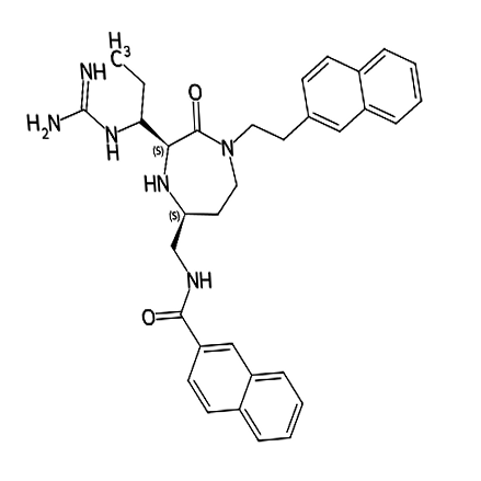 CCC(NC(=N)N)[C@@H]1N[C@H](CNC(=O)c2ccc3ccccc3c2)CCN(CCc2ccc3ccccc3c2)C1=O